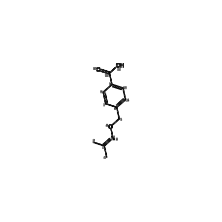 CC(C)=NOCc1ccc(C(=O)O)cc1